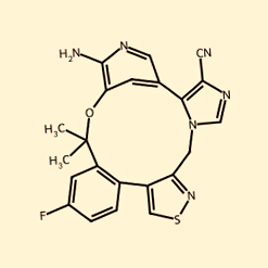 CC1(C)Oc2cc(cnc2N)-c2c(C#N)ncn2Cc2nscc2-c2ccc(F)cc21